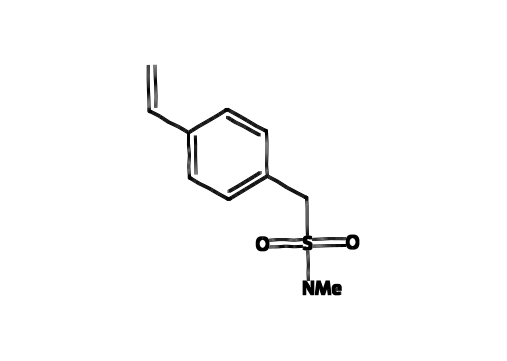 C=Cc1ccc(CS(=O)(=O)NC)cc1